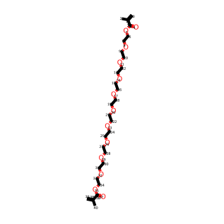 C=C(C)C(=O)OCCOCCOCCOCCOCCOCCOCCOCCOCCOCCOC(=O)C(=C)C